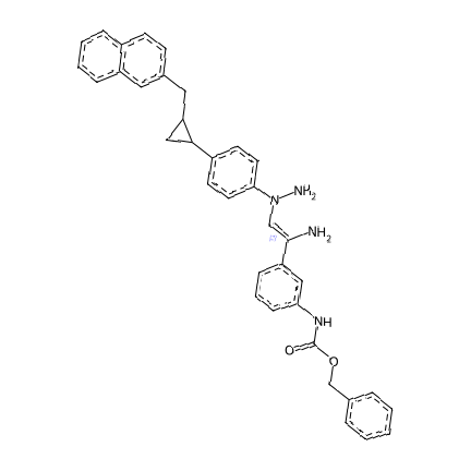 N/C(=C\N(N)c1ccc(C2CC2Cc2ccc3ccccc3c2)cc1)c1cccc(NC(=O)OCc2ccccc2)c1